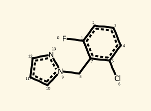 Fc1cccc(Cl)c1Cn1c[c]cn1